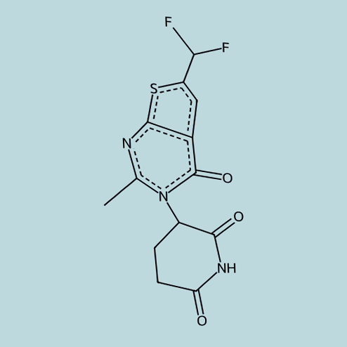 Cc1nc2sc(C(F)F)cc2c(=O)n1C1CCC(=O)NC1=O